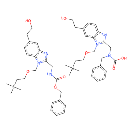 C[Si](C)(C)CCOCn1c(CN(Cc2ccccc2)C(=O)O)nc2ccc(CCO)cc21.C[Si](C)(C)CCOCn1c(CNC(=O)OCc2ccccc2)nc2cc(CCO)ccc21